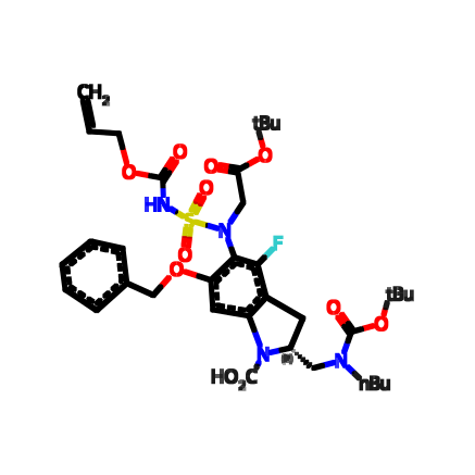 C=CCOC(=O)NS(=O)(=O)N(CC(=O)OC(C)(C)C)c1c(OCc2ccccc2)cc2c(c1F)C[C@H](CN(CCCC)C(=O)OC(C)(C)C)N2C(=O)O